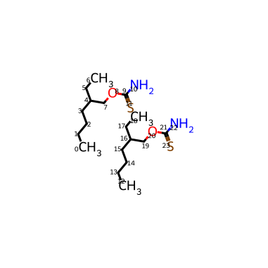 CCCCC(CC)COC(N)=S.CCCCC(CC)COC(N)=S